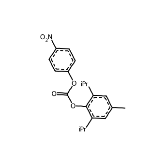 Cc1cc(C(C)C)c(OC(=O)Oc2ccc([N+](=O)[O-])cc2)c(C(C)C)c1